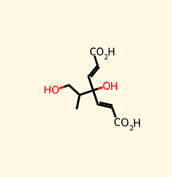 CC(CO)C(O)(C=CC(=O)O)C=CC(=O)O